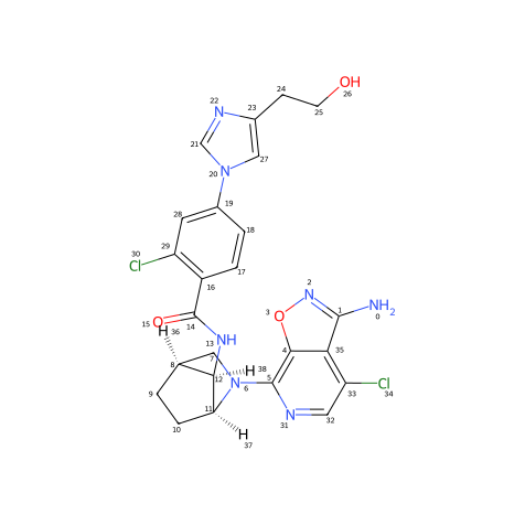 Nc1noc2c(N3C[C@@H]4CC[C@H]3[C@@H]4NC(=O)c3ccc(-n4cnc(CCO)c4)cc3Cl)ncc(Cl)c12